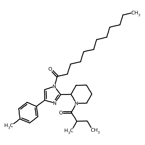 CCCCCCCCCCCC(=O)n1cc(-c2ccc(C)cc2)nc1C1CCCCN1C(=O)C(C)CC